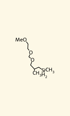 COCCOCOCC(C)C[SiH2]C